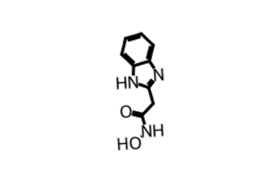 O=C(Cc1nc2ccccc2[nH]1)NO